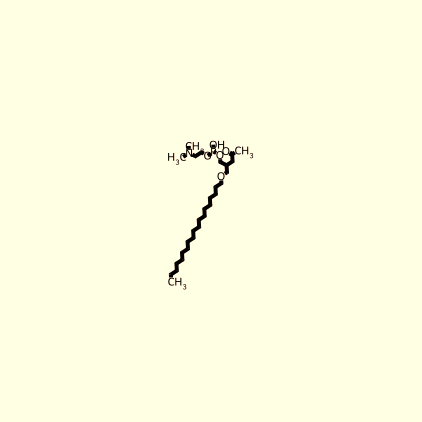 CCCCCCCCCCCCCCCCCCCOCC(COP(O)OCCN(C)C)CC(C)=O